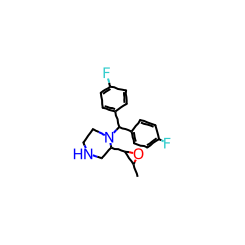 CC1OC1C1CNCCN1C(c1ccc(F)cc1)c1ccc(F)cc1